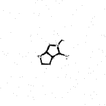 CC(=O)C1C2CCNC2CN1C